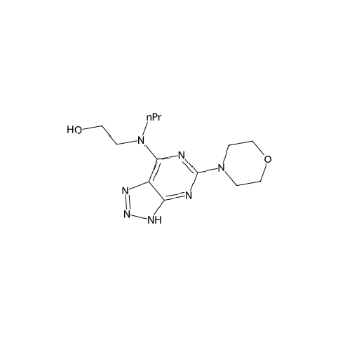 CCCN(CCO)c1nc(N2CCOCC2)nc2[nH]nnc12